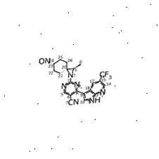 C[C@H]1N(c2ncc(C#N)c(-c3c[nH]c4ncc(C(F)(F)F)cc34)n2)[C@]12CC[C@H](N=O)CC2